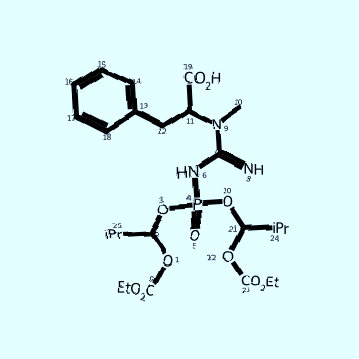 CCOC(=O)OC(OP(=O)(NC(=N)N(C)C(Cc1ccccc1)C(=O)O)OC(OC(=O)OCC)C(C)C)C(C)C